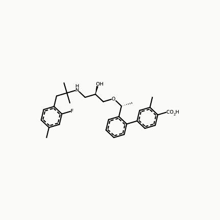 Cc1ccc(CC(C)(C)NC[C@@H](O)CO[C@H](C)c2ccccc2-c2ccc(C(=O)O)c(C)c2)c(F)c1